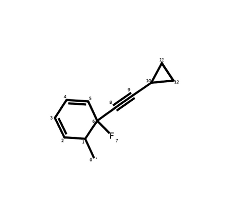 [CH2]C1C=CC=CC1(F)C#CC1CC1